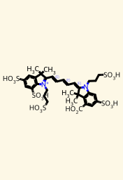 CC1(C)C(/C=C/C=C/C=C2/N(CCCS(=O)(=O)O)c3cc(S(=O)(=O)O)cc(C(=O)O)c3C2(C)C)=[N+](CCCS(=O)(=O)O)c2c1cc(S(=O)(=O)O)cc2S(=O)(=O)O